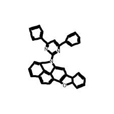 C1=CC2Oc3c(cc4c5c3ccc3cccc(c35)n4-c3nc(-c4ccccc4)cc(-c4ccccc4)n3)C2C=C1